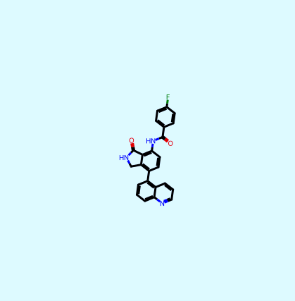 O=C(Nc1ccc(-c2cccc3ncccc23)c2c1C(=O)NC2)c1ccc(F)cc1